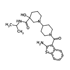 CC(C)NC(=O)C1(O)CCCN(C2CCN(C(=O)c3c(N)sc4ccccc34)CC2)C1